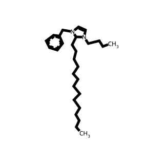 CCCCCCCCCCCCCCC1N(CCCC)C=CN1Cc1ccccc1